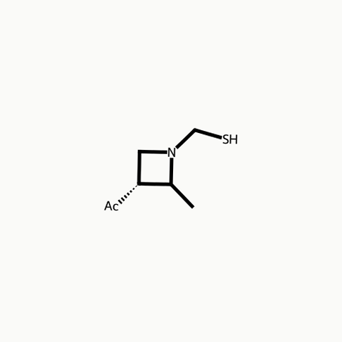 CC(=O)[C@@H]1CN(CS)C1C